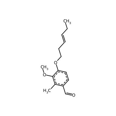 CC/C=C/CCOc1ccc(C=O)c(C)c1OC